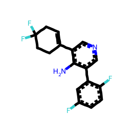 Nc1c(C2=CCC(F)(F)CC2)cncc1-c1cc(F)ccc1F